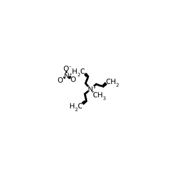 C=CC[N+](C)(CC=C)CC=C.O=[N+]([O-])[O-]